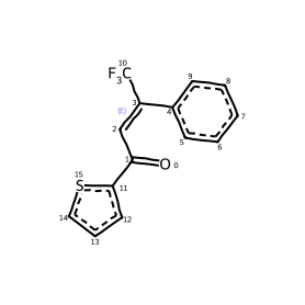 O=C(/C=C(\c1ccccc1)C(F)(F)F)c1cccs1